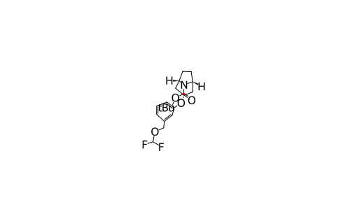 CC(C)(C)OC(=O)N1[C@@H]2CC[C@H]1C[C@@H](Oc1cccc(COC(F)F)c1)C2